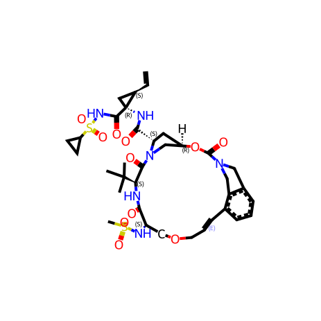 C=C[C@@H]1C[C@]1(NC(=O)[C@@H]1C[C@@H]2CN1C(=O)[C@H](C(C)(C)C)NC(=O)[C@@H](NS(C)(=O)=O)COC/C=C/c1cccc3c1CN(C3)C(=O)O2)C(=O)NS(=O)(=O)C1CC1